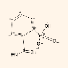 [NH]C(=O)c1ccccc1P(=O)(O)O